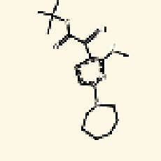 CNc1nc(N2CCCCCC2)ccc1C(=N)C(=O)OC(C)(C)C